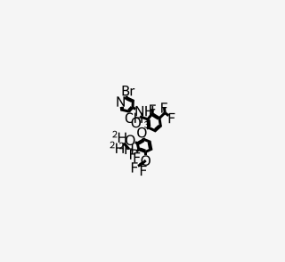 [2H]C([2H])([2H])Oc1c(Oc2ccc(C(F)F)c(F)c2C(=O)Nc2cc(Br)ncc2C)ccc(OC(F)(F)F)c1F